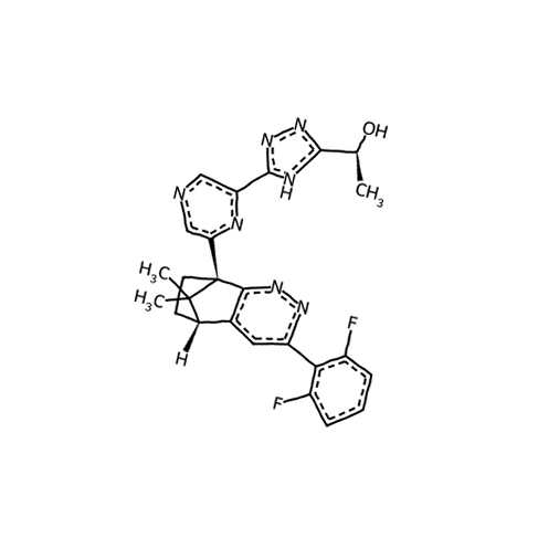 C[C@H](O)c1nnc(-c2cncc([C@@]34CC[C@@H](c5cc(-c6c(F)cccc6F)nnc53)C4(C)C)n2)[nH]1